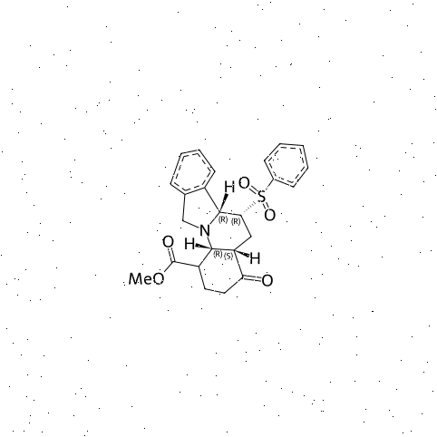 COC(=O)C1CCC(=O)[C@H]2C[C@@H](S(=O)(=O)c3ccccc3)[C@H]3c4ccccc4CN3[C@@H]12